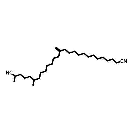 C=C(CCCCCCCCCCCCC#N)CCCCCCCC(C)CCCC(C)C#N